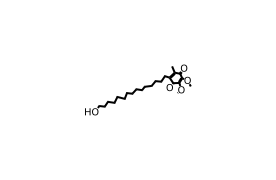 COC1=C(OC)C(=O)C(CCCCCCCCCCCCCCCO)=C(C)C1=O